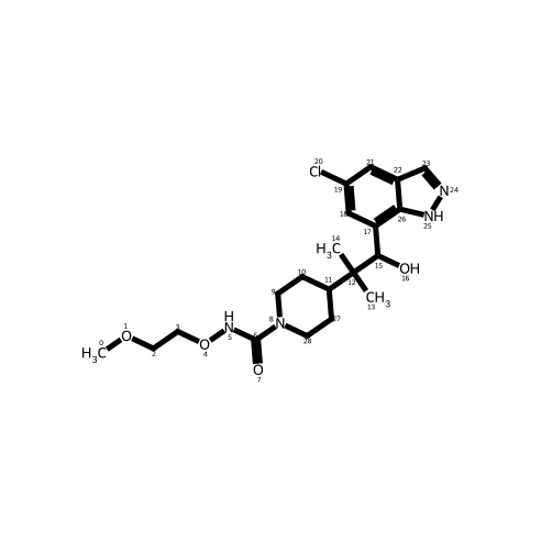 COCCONC(=O)N1CCC(C(C)(C)C(O)c2cc(Cl)cc3cn[nH]c23)CC1